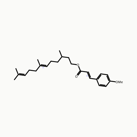 COc1ccc(/C=C/C(=O)OCCC(C)CC/C=C(\C)CCC=C(C)C)cc1